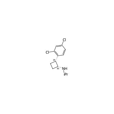 CC(C)N[C@@H]1CC[C@@H]1c1ccc(Cl)cc1Cl